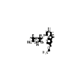 CCOCc1cnc2c(c1)C[C@@H]1CNC[C@@H](C)N21.O=C(O)C(F)(F)F.O=C(O)C(F)(F)F